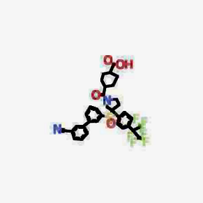 N#Cc1cccc(-c2cccc([S+]([O-])C3(c4ccc(C(F)(C(F)(F)F)C(F)(F)F)cc4)CCN(C(=O)C4CCC(C(=O)O)CC4)C3)c2)c1